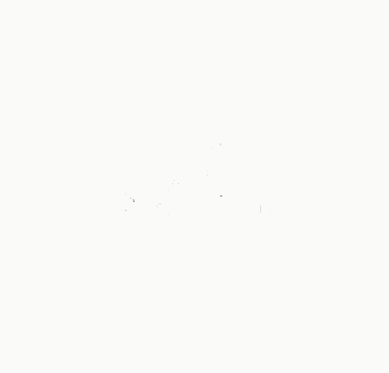 CCSc1ccc([N+](=O)[O-])cc1F